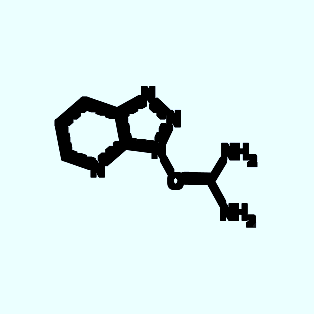 NC(N)=[O+]n1nnc2cccnc21